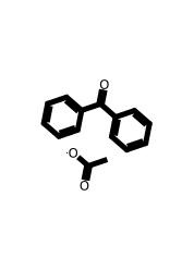 CC([O])=O.O=C(c1ccccc1)c1ccccc1